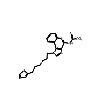 O=C(Nc1nc2ccccc2c2c1ncn2CCOCCCc1cccs1)C(Cl)(Cl)Cl